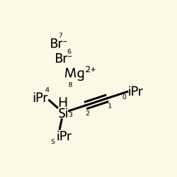 CC(C)C#C[SiH](C(C)C)C(C)C.[Br-].[Br-].[Mg+2]